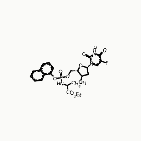 CCOC(=O)[C@H](C)NP(=O)(OC[C@H]1O[C@@H](n2cc(F)c(=O)[nH]c2=O)C[C@H]1O)Oc1cccc2ccccc12